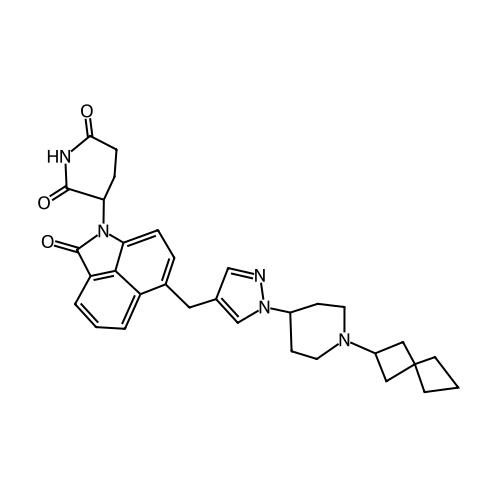 O=C1CCC(N2C(=O)c3cccc4c(Cc5cnn(C6CCN(C7CC8(CCC8)C7)CC6)c5)ccc2c34)C(=O)N1